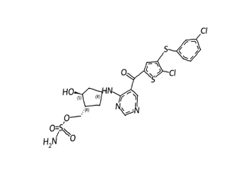 NS(=O)(=O)OC[C@H]1C[C@@H](Nc2ncncc2C(=O)c2cc(Sc3cccc(Cl)c3)c(Cl)s2)C[C@@H]1O